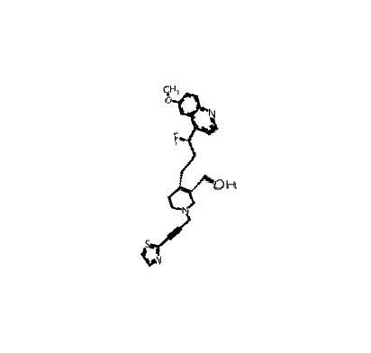 COc1ccc2nccc([C@H](F)CC[C@@H]3CCN(CC#Cc4nccs4)C[C@@H]3CO)c2c1